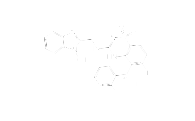 C[C@H](c1ccccc1F)c1c(F)ccc2c1NC(NCc1nc3ccccc3n1C)=NS2(=O)=O